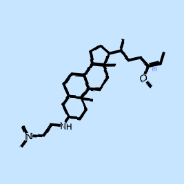 C/C=C(\CCC(C)C1CCC2C3CCC4CC(NCCN(C)C)CCC4(C)C3CCC12C)OC